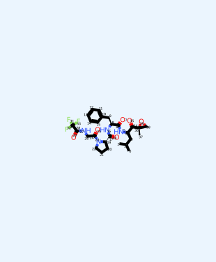 CC(C)CC(NC(=O)[C@H](Cc1ccccc1)NC(=O)[C@@H]1CCCN1C(=O)CNC(=O)C(F)(F)F)C(=O)[C@@]1(C)CO1